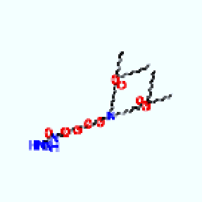 CCCCCCCCC(CCCCCC)OC(=O)CCCCCCCN(CCCCCCCC(=O)OC(CCCCCC)CCCCCCCC)CCOCCOCCOCCOCCNC(=O)c1c[nH]cn1